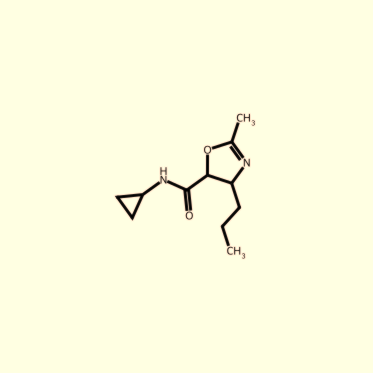 CCCC1N=C(C)OC1C(=O)NC1CC1